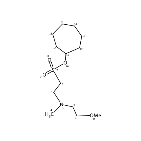 COCCN(C)CCS(=O)(=O)OC1CCCCCC1